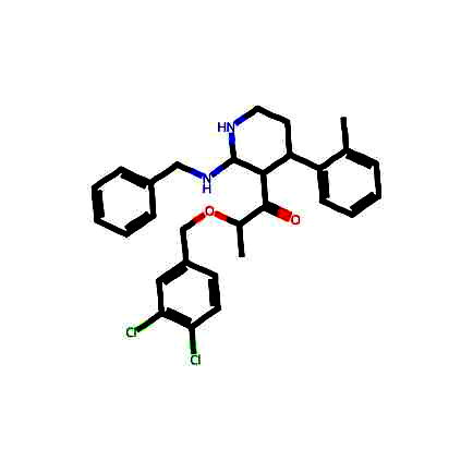 Cc1ccccc1C1CCNC(NCc2ccccc2)C1C(=O)C(C)OCc1ccc(Cl)c(Cl)c1